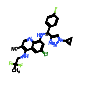 CC(F)(F)CNc1c(C#N)cnc2c(N[C@@H](c3ccc(F)cc3)c3cn(C4CC4)nn3)cc(Cl)cc12